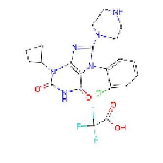 O=C(O)C(F)(F)F.O=c1[nH]c(=O)n(C2CCC2)c2nc(N3CCNCC3)n(-c3ccccc3Cl)c12